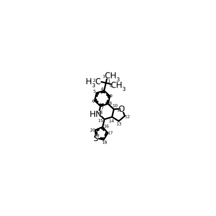 CC(C)(C)c1ccc2c(c1)C1OCCC1C(c1ccsc1)N2